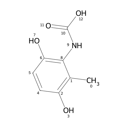 Cc1c(O)ccc(O)c1NC(=O)O